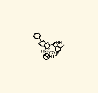 O=C(O)[C@@H]1C2CCC(CC2)[C@@H]1Nc1nc(-c2c[nH]c3c(F)cc(F)cc23)nc2cc(-c3ccccc3)ccc12